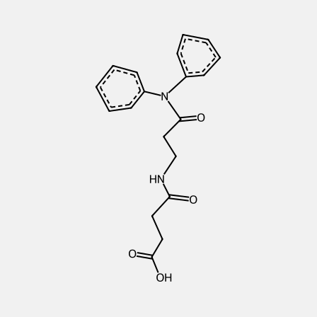 O=C(O)CCC(=O)NCCC(=O)N(c1ccccc1)c1ccccc1